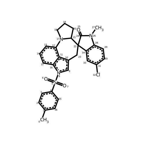 Cc1ccc(S(=O)(=O)n2cc3c4c(cccc42)N2CCCC2C2(C3)C(=O)N(C)c3ccc(Cl)cc32)cc1